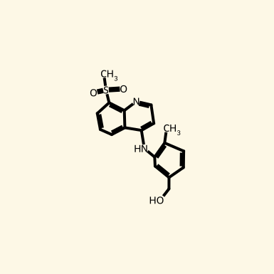 Cc1ccc(CO)cc1Nc1ccnc2c(S(C)(=O)=O)cccc12